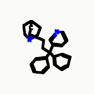 c1ccc(C(CCC2CC3CCN2CC3)(c2ccccc2)c2cccnc2)cc1